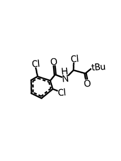 CC(C)(C)C(=O)C(Cl)NC(=O)c1c(Cl)cccc1Cl